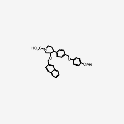 COc1ccc(OCc2ccc(C3CCN(C(=O)O)CC3OCc3ccc4ccccc4c3)cc2)cc1